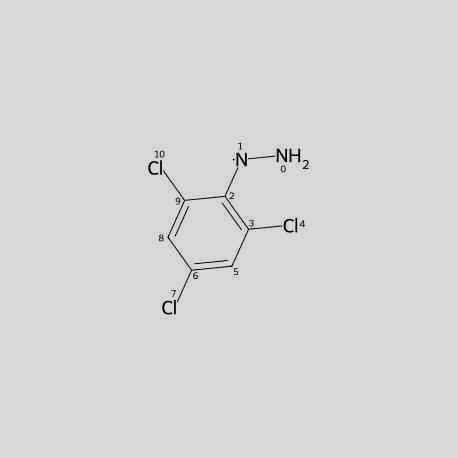 N[N]c1c(Cl)cc(Cl)cc1Cl